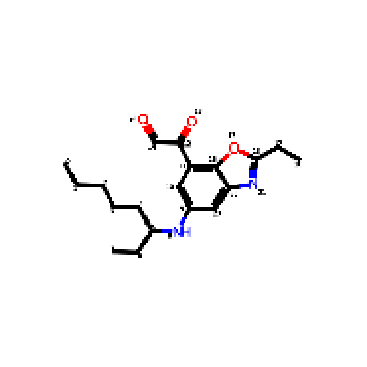 CCCCCC(CC)Nc1cc(C(=O)C=O)c2oc(CC)nc2c1